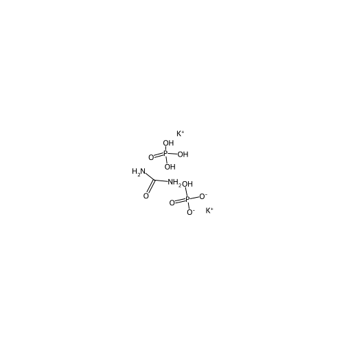 NC(N)=O.O=P(O)(O)O.O=P([O-])([O-])O.[K+].[K+]